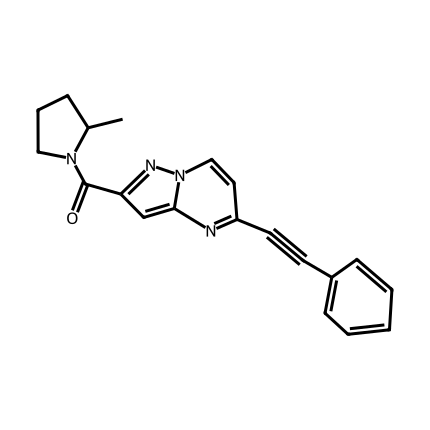 CC1CCCN1C(=O)c1cc2nc(C#Cc3ccccc3)ccn2n1